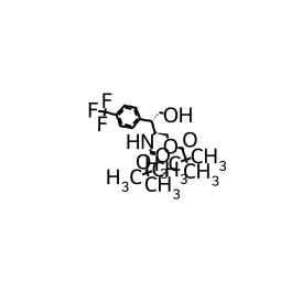 CC(C)(C)OC(=O)N[C@H](COC(=O)C(C)(C)C)[C@@H](CO)c1ccc(C(F)(F)F)cc1